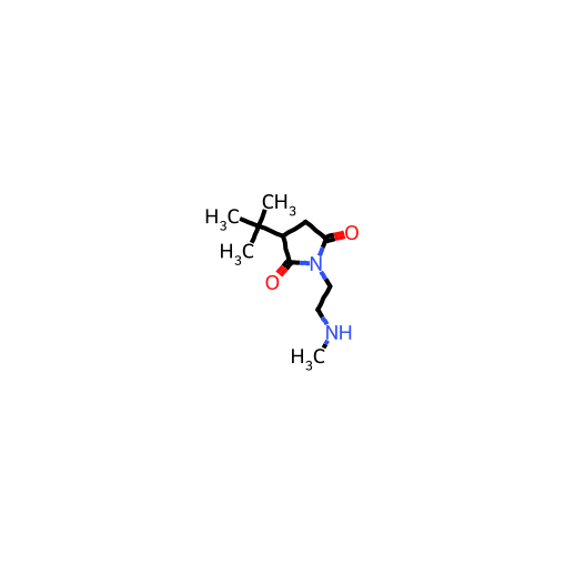 CNCCN1C(=O)CC(C(C)(C)C)C1=O